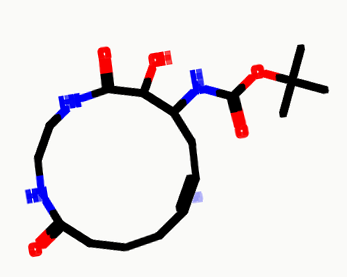 CC(C)(C)OC(=O)NC1C/C=C\CCCC(=O)NCCNC(=O)C1O